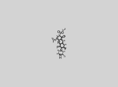 CCOC(=O)c1cn(C2CC2)c2nc3c(F)c(N4CCNC(C)C4)c(F)cc3cc2c1=O